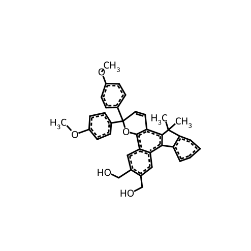 COc1ccc(C2(c3ccc(OC)cc3)C=Cc3c4c(c5cc(CO)c(CO)cc5c3O2)-c2ccccc2C4(C)C)cc1